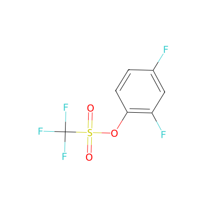 O=S(=O)(Oc1ccc(F)cc1F)C(F)(F)F